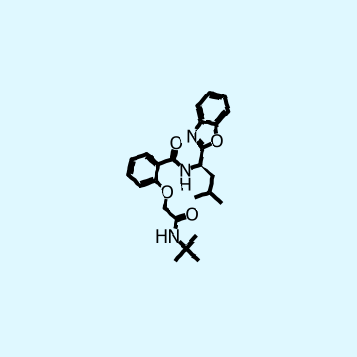 CC(C)C[C@@H](NC(=O)c1ccccc1OCC(=O)NC(C)(C)C)c1nc2ccccc2o1